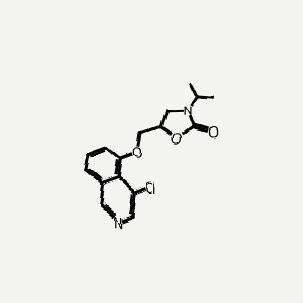 CC(C)N1CC(COc2cccc3cncc(Cl)c23)OC1=O